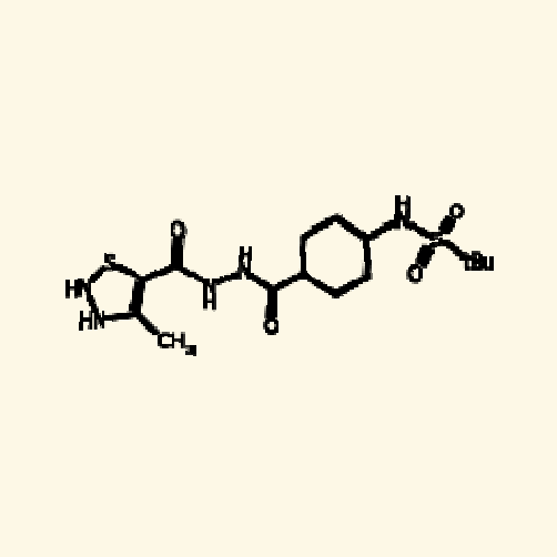 CC1=C(C(=O)NNC(=O)C2CCC(NS(=O)(=O)C(C)(C)C)CC2)SNN1